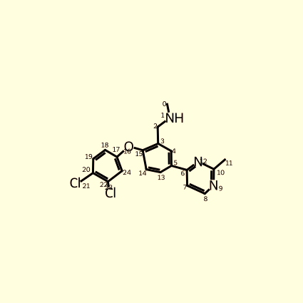 CNCc1cc(-c2ccnc(C)n2)ccc1Oc1ccc(Cl)c(Cl)c1